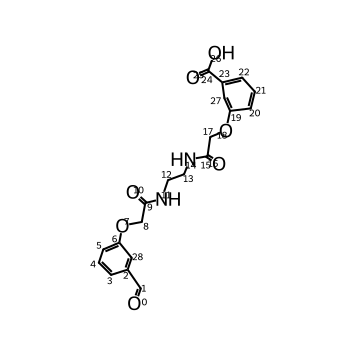 O=Cc1cccc(OCC(=O)NCCNC(=O)COc2cccc(C(=O)O)c2)c1